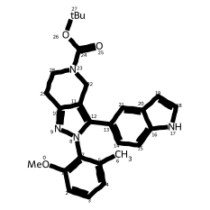 COc1cccc(C)c1-n1nc2c(c1-c1ccc3[nH]ccc3c1)CN(C(=O)OC(C)(C)C)CC2